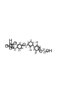 Cc1cc(-c2cccc(COc3ccc(Cn4oc(=O)[nH]c4=O)cc3)c2C)c(C)nc1OCCO